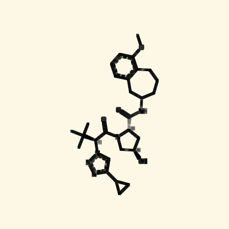 COc1cccc2c1CCCC(NC(=O)[C@@H]1C[C@@H](O)CN1C(=O)[C@@H](n1cc(C3CC3)nn1)C(C)(C)C)C2